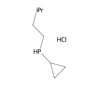 CC(C)CCPC1CC1.Cl